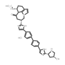 Cl.N#C[C@@H]1CN[C@H](c2ncc(-c3ccc(-c4ccc(-c5cnc([C@H]6CC(=O)C7c8c(ccn8C6)CC[C@@H]7NC(=O)O)[nH]5)cc4)cc3)[nH]2)C1